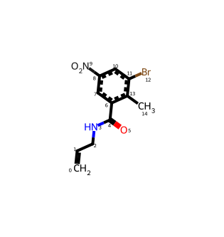 C=CCNC(=O)c1cc([N+](=O)[O-])cc(Br)c1C